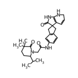 CC(C)C1CCC(C)(C)C(=O)N1CC(=O)Nc1ccc2c(c1)CC1(C2)C(=O)NC2=C1C=CCN2